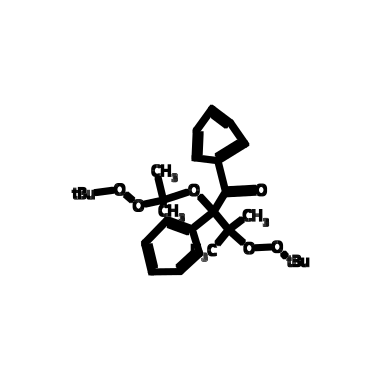 CC(C)(C)OOC(C)(C)OC(C(=O)c1ccccc1)(c1ccccc1)C(C)(C)OOC(C)(C)C